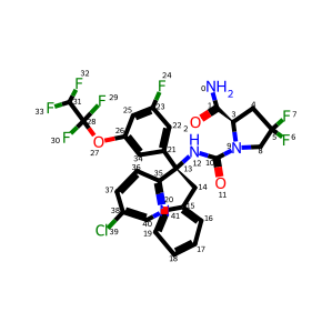 NC(=O)[C@H]1CC(F)(F)CN1C(=O)N[C@@](Cc1ccccc1)(c1cc(F)cc(OC(F)(F)C(F)F)c1)c1ccc(Cl)cn1